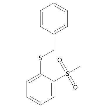 CS(=O)(=O)c1ccccc1SCc1ccccc1